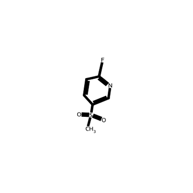 CS(=O)(=O)c1ccc(F)nc1